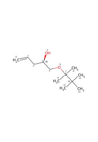 C=CC[C@@H](O)CO[Si](C)(C)C(C)(C)C